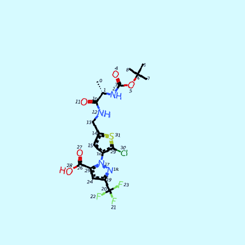 C[C@H](NC(=O)OC(C)(C)C)C(=O)NCc1cc(-n2nc(C(F)(F)F)cc2C(=O)O)c(Cl)s1